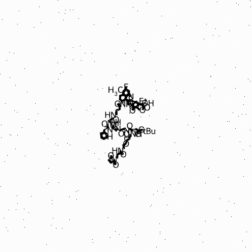 CC[C@@]1(O)C(=O)OCc2c1cc1n(c2=O)Cc2c-1nc1cc(F)c(C)c3c1c2[C@@H](NC(=O)CCCNC(=O)CNC(=O)[C@H](Cc1ccccc1)NC(=O)CNC(=O)CNC(=O)[C@H](CC(=O)OC(C)(C)C)NC(=O)CCOCCNC(=O)CCN1C(=O)C=CC1=O)CC3